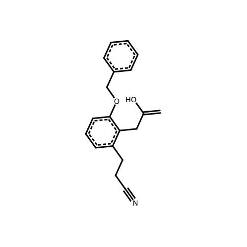 C=C(O)Cc1c(CCC#N)cccc1OCc1ccccc1